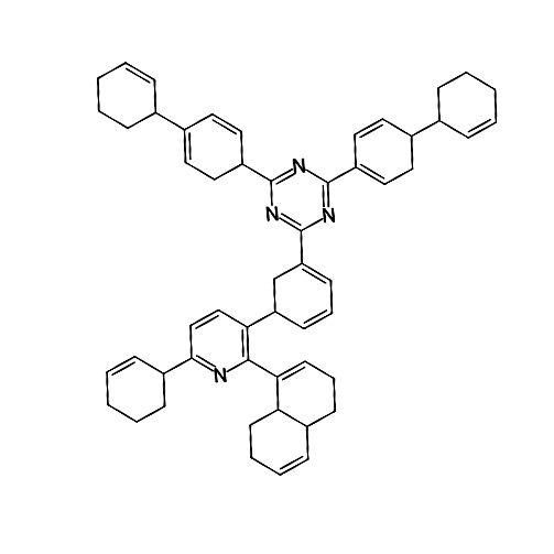 C1=CC(c2ccc(C3C=CCCC3)nc2C2=CCCC3C=CCCC23)CC(c2nc(C3=CCC(C4C=CCCC4)C=C3)nc(C3C=CC(C4C=CCCC4)=CC3)n2)=C1